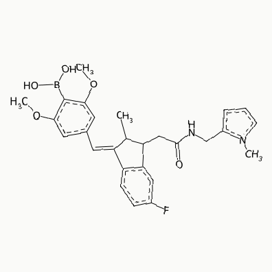 COc1cc(C=C2c3ccc(F)cc3C(CC(=O)NCc3cccn3C)C2C)cc(OC)c1B(O)O